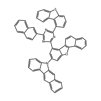 c1ccc2cc(-c3nc(-c4cc(-n5c6ccccc6c6cc7ccccc7cc65)cc5oc6c7ccccc7ccc6c45)nc(-c4cccc5sc6ccccc6c45)n3)ccc2c1